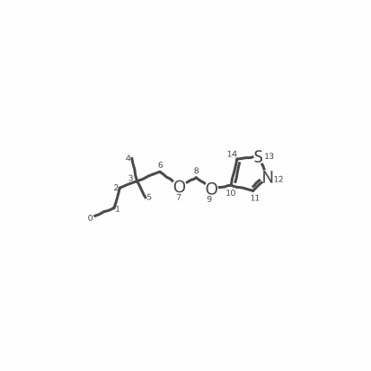 CCCC(C)(C)COCOc1cnsc1